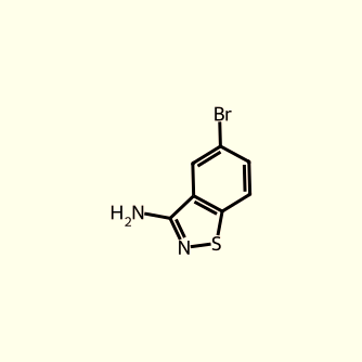 Nc1nsc2ccc(Br)cc12